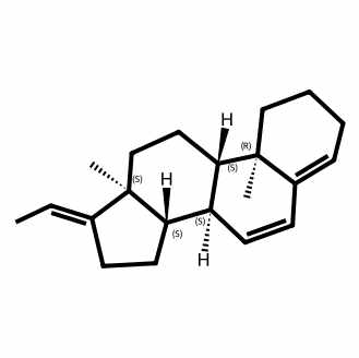 CC=C1CC[C@H]2[C@@H]3C=CC4=CCCC[C@]4(C)[C@H]3CC[C@]12C